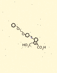 O=C(O)Cc1cn(CC(=O)O)c2cccc(/C=C/c3ccc(OCCCOCc4ccccc4)cc3)c12